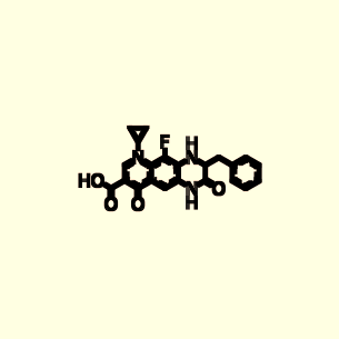 O=C(O)c1cn(C2CC2)c2c(F)c3c(cc2c1=O)NC(=O)C(Cc1ccccc1)N3